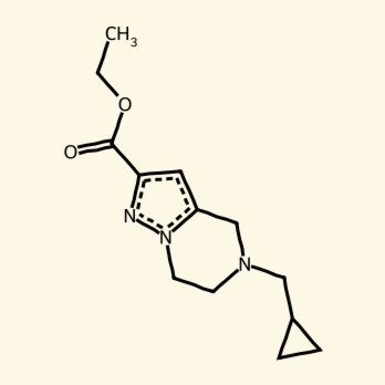 CCOC(=O)c1cc2n(n1)CCN(CC1CC1)C2